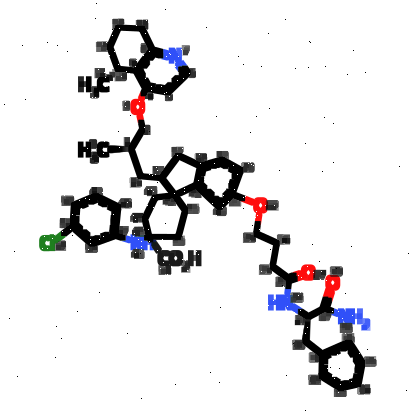 C[C@@H](COc1ccnc2c1[C@H](C)CCC2)CC1Cc2ccc(OCCCC(=O)N[C@H](Cc3ccccc3)C(N)=O)cc2C12CCC(Nc1cccc(Cl)c1)(C(=O)O)CC2